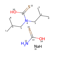 CC(C)CN(CC(C)C)C(O)=S.NC(O)=S.[NaH]